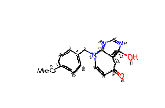 COc1ccc(Cn2ccc(=O)c3c(O)ncnc32)cc1